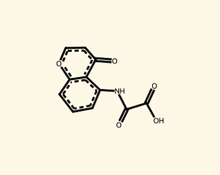 O=C(O)C(=O)Nc1cccc2occc(=O)c12